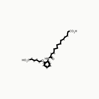 O=C(O)CCCCCCCCCCCC(=O)Nc1ccccc1OCCCCC(=O)O